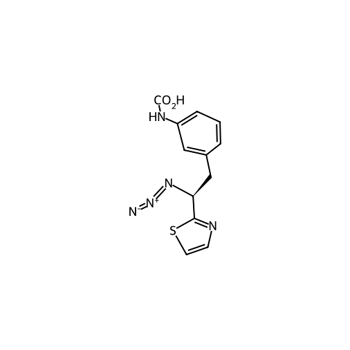 [N-]=[N+]=N[C@@H](Cc1cccc(NC(=O)O)c1)c1nccs1